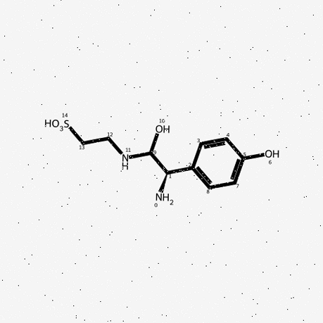 N[C@H](c1ccc(O)cc1)C(O)NCCS(=O)(=O)O